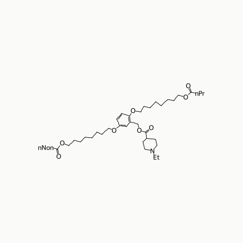 CCCCCCCCCC(=O)OCCCCCCCCOc1ccc(OCCCCCCCCOC(=O)CCC)c(COC(=O)C2CCN(CC)CC2)c1